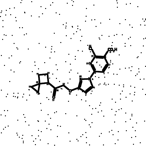 O=C(O)c1ccc(-n2ccc(OCC(=O)C3CCC34CC4)n2)nc1Cl